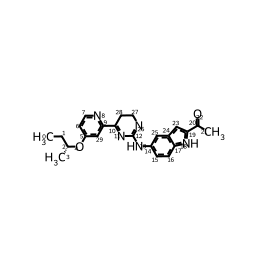 CC[C@@H](C)Oc1ccnc(C2=NC(Nc3ccc4[nH]c(C(C)=O)cc4c3)=NCC2)c1